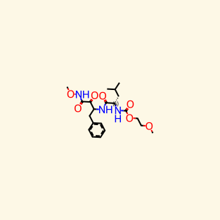 COCCOC(=O)N[C@@H](CC(C)C)C(=O)NC(Cc1ccccc1)C(=O)C(=O)NOC